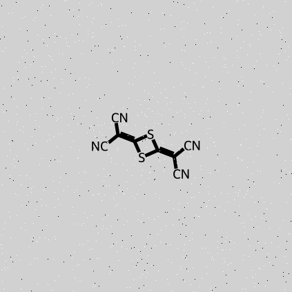 N#CC(C#N)=c1sc(=C(C#N)C#N)s1